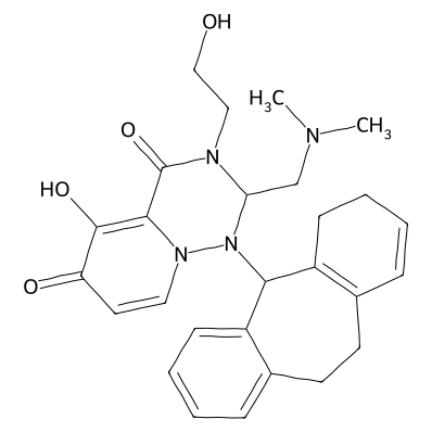 CN(C)CC1N(CCO)C(=O)c2c(O)c(=O)ccn2N1C1C2=C(C=CCC2)CCc2ccccc21